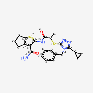 CC(Sc1nnc(C2CC2)n1Cc1ccccc1)C(=O)Nc1sc2c(c1C(N)=O)CCC2